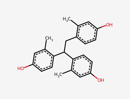 Cc1cc(O)ccc1CC(c1ccc(O)cc1C)c1ccc(O)cc1C